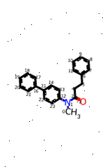 CN(C(=O)CCc1ccccc1)c1ccc(-c2ccccc2)cc1